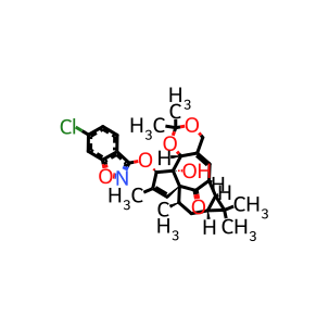 CC1=C[C@]23C(=O)[C@@H](C=C4COC(C)(C)O[C@H]4[C@]2(O)[C@H]1Oc1noc2cc(Cl)ccc12)[C@H]1[C@@H](C[C@H]3C)C1(C)C